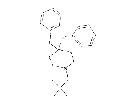 CC(C)(C)CN1CCC(Cc2ccccc2)(Oc2ccccc2)CC1